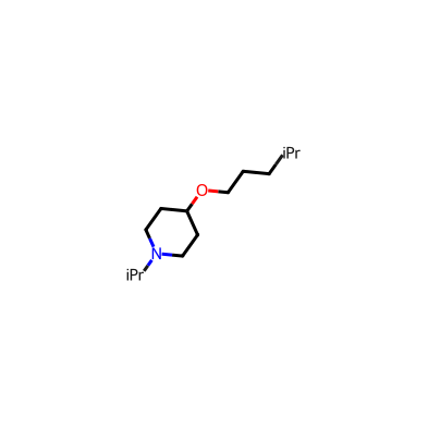 CC(C)CCCOC1CCN(C(C)C)CC1